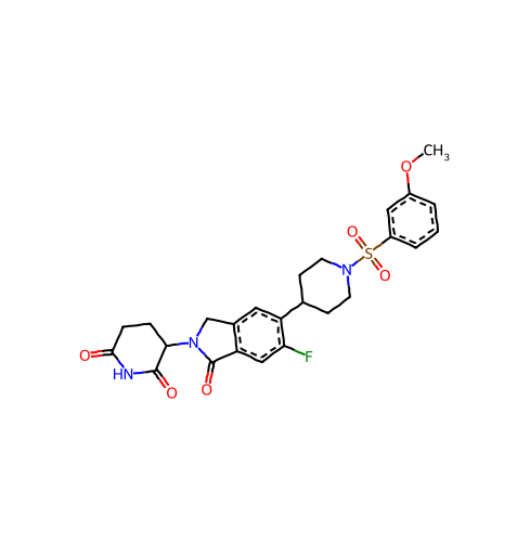 COc1cccc(S(=O)(=O)N2CCC(c3cc4c(cc3F)C(=O)N(C3CCC(=O)NC3=O)C4)CC2)c1